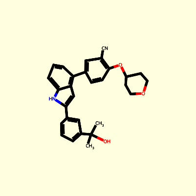 CC(C)(O)c1cccc(-c2cc3c(-c4ccc(OC5CCOCC5)c(C#N)c4)cccc3[nH]2)c1